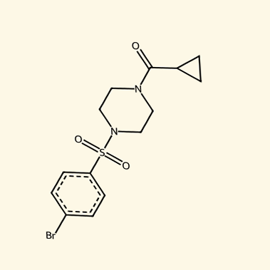 O=C(C1CC1)N1CCN(S(=O)(=O)c2ccc(Br)cc2)CC1